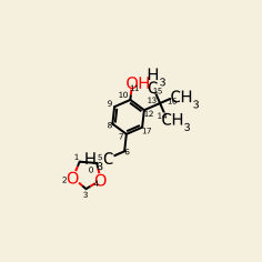 C1COCO1.CCc1ccc(O)c(C(C)(C)C)c1